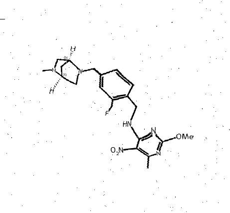 COc1nc(C)c([N+](=O)[O-])c(NCc2ccc(CN3C[C@@H]4C[C@H]3CN4C)cc2F)n1